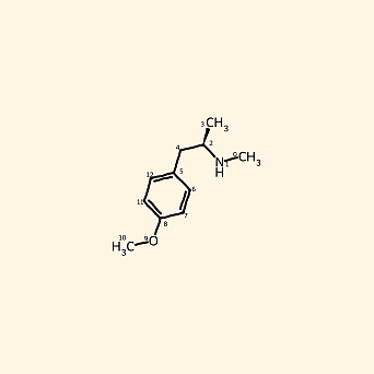 CN[C@H](C)Cc1ccc(OC)cc1